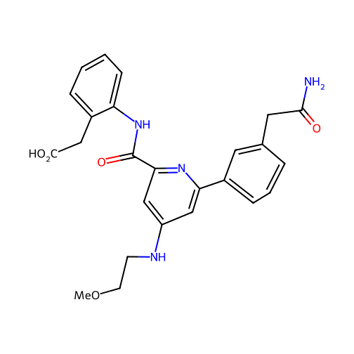 COCCNc1cc(C(=O)Nc2ccccc2CC(=O)O)nc(-c2cccc(CC(N)=O)c2)c1